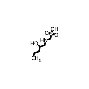 CCCC(O)CNCS(=O)(=O)O